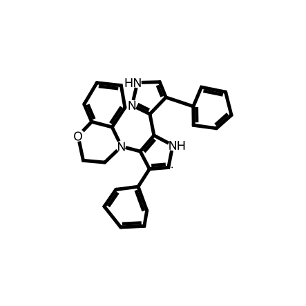 [c]1[nH]c(-c2n[nH]cc2-c2ccccc2)c(N2CCOc3ccccc32)c1-c1ccccc1